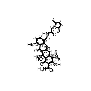 CC1C=CC(C)N1CC(=O)NCc1ccc(O)c2c1C[C@H]1C[C@H]3[C@@H](N(C)C)C(O)=C(C(N)=O)C(=O)[C@@]3(O)C(O)=C1C2=O